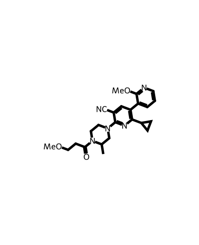 COCCC(=O)N1CCN(c2nc(C3CC3)c(-c3cccnc3OC)cc2C#N)CC1C